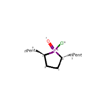 CCCCC[C@@H]1CC[C@@H](CCCCC)P1(=O)Cl